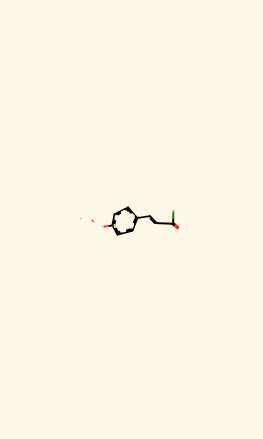 CCCOc1ccc(C=CC(=O)Cl)cc1